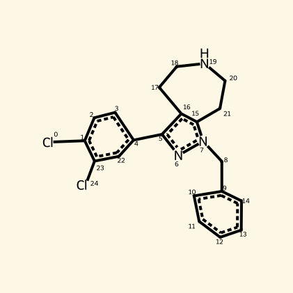 Clc1ccc(-c2nn(Cc3ccccc3)c3c2CCNCC3)cc1Cl